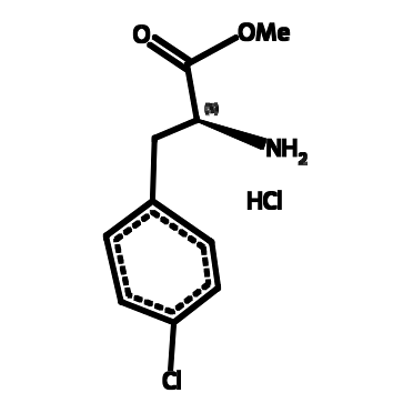 COC(=O)[C@@H](N)Cc1ccc(Cl)cc1.Cl